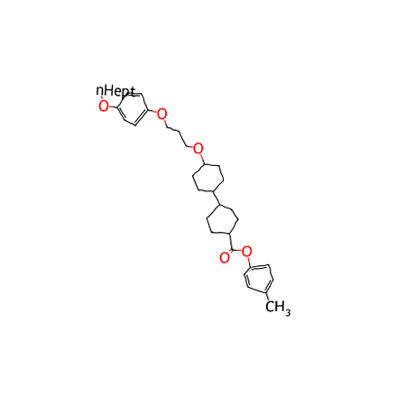 CCCCCCCOc1ccc(OCCCOC2CCC(C3CCC(C(=O)Oc4ccc(C)cc4)CC3)CC2)cc1